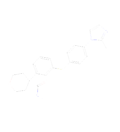 Cc1nccn1-c1ccc(Sc2cccc([C@]3(C(N)=O)CCO[C@@H](C)C3)c2)cc1